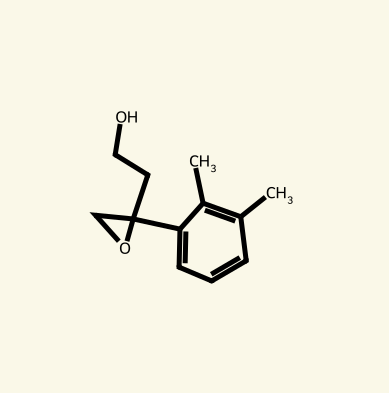 Cc1cccc(C2(CCO)CO2)c1C